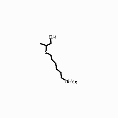 CCCCCCCCCCCCSC(C)CO